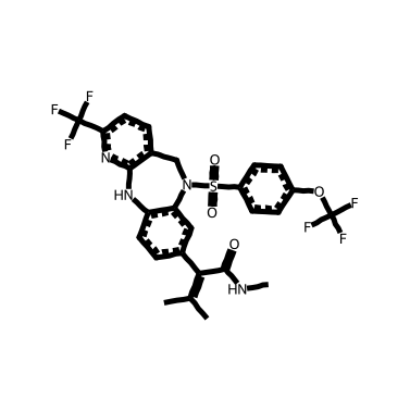 CNC(=O)C(=C(C)C)c1ccc2c(c1)N(S(=O)(=O)c1ccc(OC(F)(F)F)cc1)Cc1ccc(C(F)(F)F)nc1N2